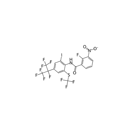 O=C(Nc1c(I)cc(C(F)(C(F)(F)F)C(F)(F)F)cc1SC(F)(F)F)c1cccc([N+](=O)[O-])c1F